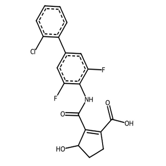 O=C(O)C1=C(C(=O)Nc2c(F)cc(-c3ccccc3Cl)cc2F)C(O)CC1